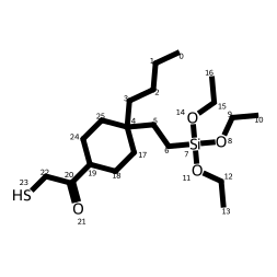 CCCCC1(CC[Si](OCC)(OCC)OCC)CCC(C(=O)CS)CC1